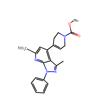 CCOC(=O)c1cc(C2=CCN(C(=O)OC(C)(C)C)CC2)c2c(C)nn(-c3ccccc3)c2n1